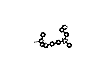 CC(C)c1cc(-c2ccccc2)nc2c1ccc1ccc(-c3ccc(-c4ccc(-c5nc(-c6ccccc6)nc(-c6cccc(-c7cccc8ccncc78)c6)n5)cc4)cc3)nc12